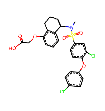 CN(C1CCCc2c(OCC(=O)O)cccc21)S(=O)(=O)c1ccc(Oc2ccc(Cl)cc2)c(Cl)c1